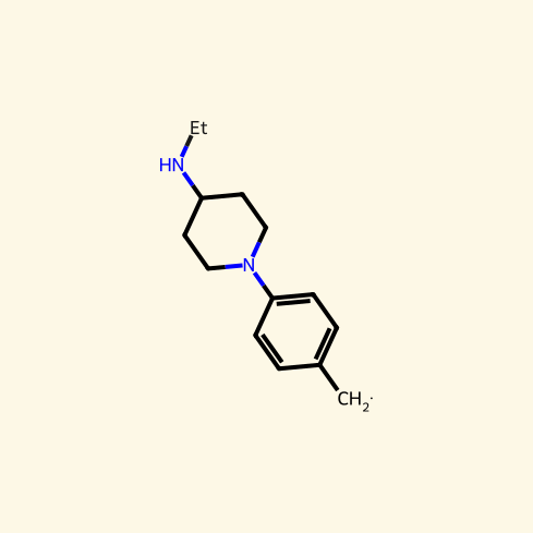 [CH2]c1ccc(N2CCC(NCC)CC2)cc1